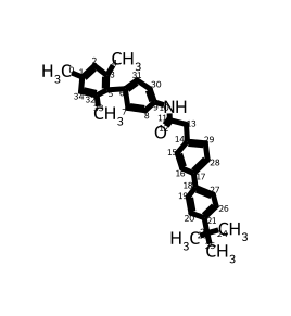 Cc1cc(C)c(-c2ccc(NC(=O)Cc3ccc(-c4ccc(C(C)(C)C)cc4)cc3)cc2)c(C)c1